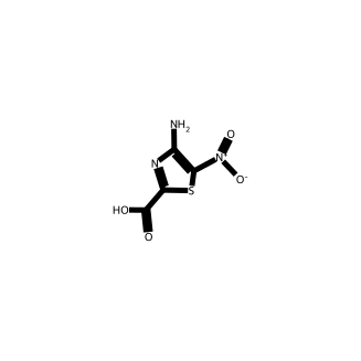 Nc1nc(C(=O)O)sc1[N+](=O)[O-]